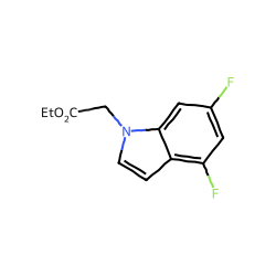 CCOC(=O)Cn1ccc2c(F)cc(F)cc21